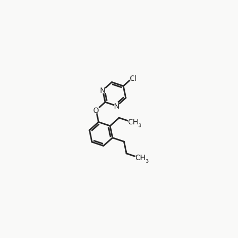 CCCc1cccc(Oc2ncc(Cl)cn2)c1CC